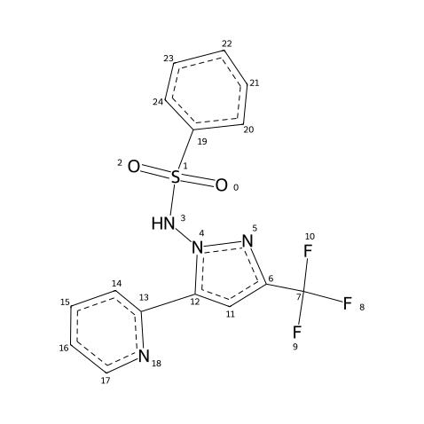 O=S(=O)(Nn1nc(C(F)(F)F)cc1-c1ccccn1)c1ccccc1